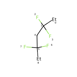 [CH2]CC(F)(F)CC(F)(F)CC